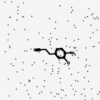 N#CCCc1ccc(N)c(Cl)c1